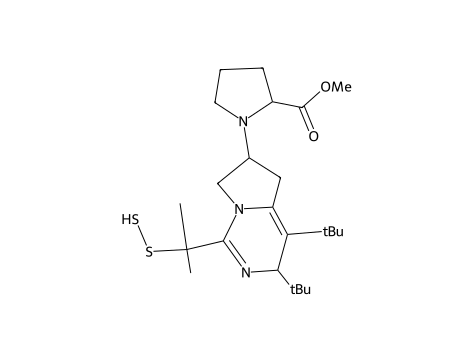 COC(=O)C1CCCN1C1CC2=C(C(C)(C)C)C(C(C)(C)C)N=C(C(C)(C)SS)N2C1